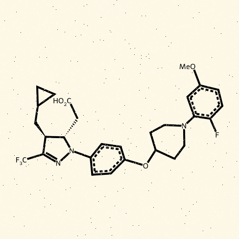 COc1ccc(F)c(N2CCC(Oc3ccc(N4N=C(C(F)(F)F)[C@@H](CC5CC5)[C@@H]4CC(=O)O)cc3)CC2)c1